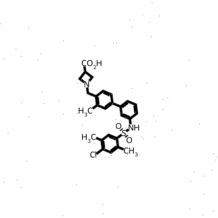 Cc1cc(S(=O)(=O)Nc2cccc(-c3ccc(CN4CC(C(=O)O)C4)c(C)c3)c2)c(C)cc1Cl